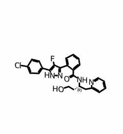 O=C(N[C@@H](CCO)Cc1ccccn1)c1ccccc1-c1n[nH]c(-c2ccc(Cl)cc2)c1F